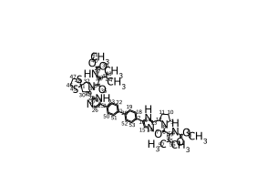 COC(=O)N[C@H](C(=O)N1CCCC1c1ncc(-c2ccc(-c3ccc(-c4cnc([C@@H]5CC6(CN5C(=O)[C@@H](NC(=O)OC)C(C)C)SCCS6)[nH]4)cc3)cc2)[nH]1)C(C)C